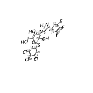 N/C(=C\NC1C(O)C(CO)OC(Sc2cc(Cl)c(Cl)c(Cl)c2)C1O)c1cc(F)c(F)c(F)c1